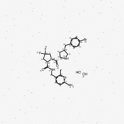 Cc1nc(N)ccc1CNC(=O)[C@H]1CC(F)(F)CN1C(=O)[C@@H]1C[C@@H](Cc2ccc(Br)cc2)CN1.Cl.Cl